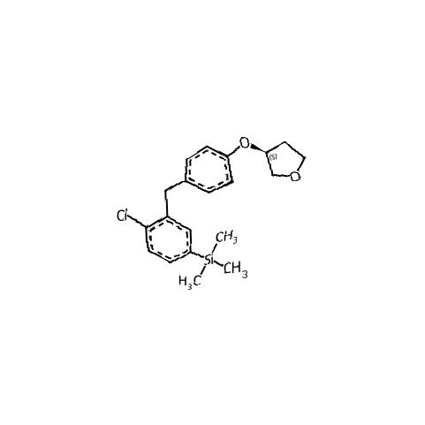 C[Si](C)(C)c1ccc(Cl)c(Cc2ccc(O[C@H]3CCOC3)cc2)c1